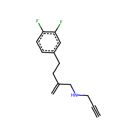 C#CCNCC(=C)CCc1ccc(F)c(F)c1